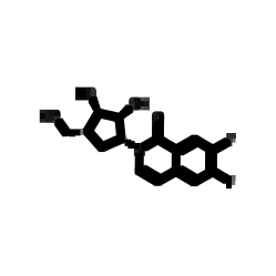 O=c1c2cc(F)c(F)cc2ccn1[C@@H]1C[C@H](CO)[C@@H](O)[C@H]1O